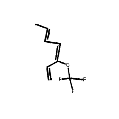 C=C/C(=C\C=C\C)OC(F)(F)F